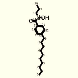 CCCCCCCCCCc1ccc(C(=O)N(O)CCC)cc1